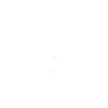 Nc1ccccc1C(=O)Nc1ccc2ccccc2c1S(=O)(=O)O